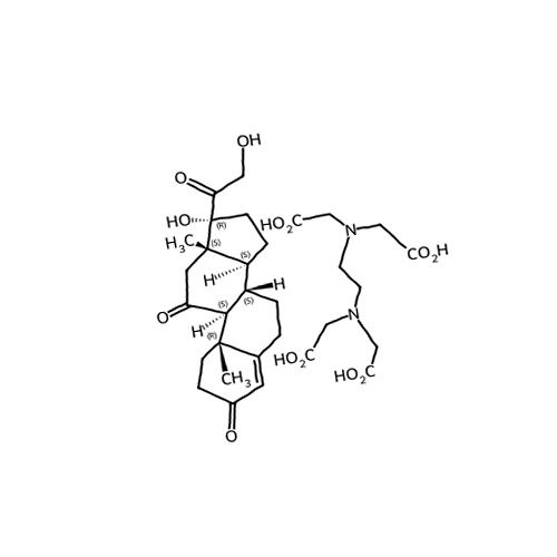 C[C@]12CCC(=O)C=C1CC[C@@H]1[C@@H]2C(=O)C[C@@]2(C)[C@H]1CC[C@]2(O)C(=O)CO.O=C(O)CN(CCN(CC(=O)O)CC(=O)O)CC(=O)O